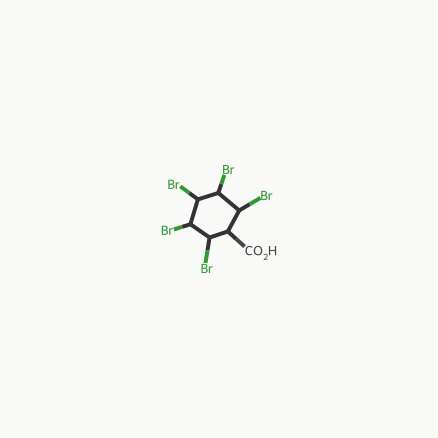 O=C(O)C1C(Br)C(Br)C(Br)C(Br)C1Br